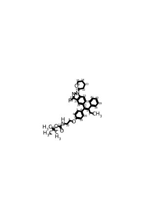 CCC(=C(c1ccc(OCCNC(=O)OC(C)(C)C)cc1)c1ccc2c(c1)c(F)nn2C1CCCCO1)c1ccccc1